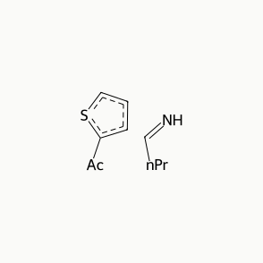 CC(=O)c1cccs1.CCCC=N